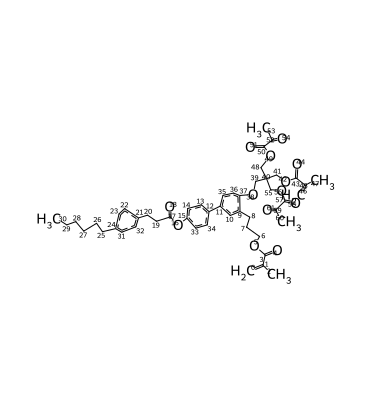 C=C(C)C(=O)OCCCc1cc(-c2ccc(OC(=O)CCc3ccc(CCCCCC)cc3)cc2)ccc1OCC(COC(=O)C(=C)C)(COC(=O)C(C)=O)COC(=O)C(C)=O